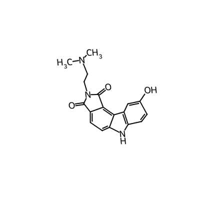 CN(C)CCN1C(=O)c2ccc3[nH]c4ccc(O)cc4c3c2C1=O